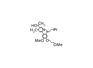 C=C(O)C1=CN2C[C@@H](CCC(C)C)c3cc(OCCCOC)c(OC)cc3C2=CC1=C